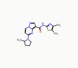 Cc1nc(NC(=O)c2cnn3ccc(N4CCCC4C)nc23)sc1C